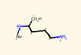 CC(C)(C)NC(CCCN)C(=O)O